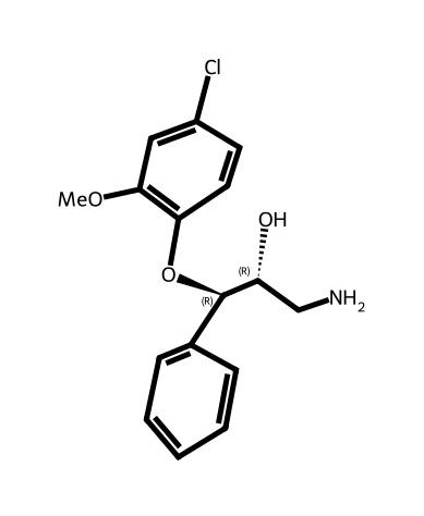 COc1cc(Cl)ccc1O[C@H](c1ccccc1)[C@H](O)CN